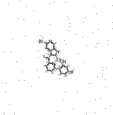 CCc1nc2cnc(Br)cn2c1N(C)c1cccc(-c2ccc(F)cc2C#N)n1